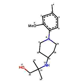 COc1cc(C)ccc1N1CCC(NC(C)(C)CO)CC1